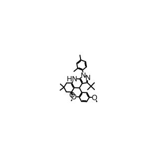 COc1ccc(OC)c(C2C3=C(CC(C)(C)CC3=O)Nc3c2c(C(C)(C)C)nn3-c2ccc(C)cc2C)c1